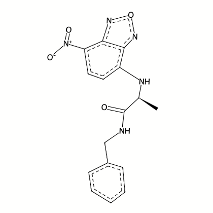 C[C@H](Nc1ccc([N+](=O)[O-])c2nonc12)C(=O)NCc1ccccc1